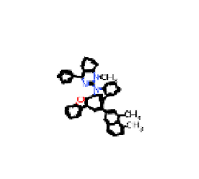 CC1C=C(C2=Cc3c(oc4ccccc34)C3C=C2c2ccccc2N3C2=NC(c3ccccc3)=C3C=CC=CC3N2C)C=C2C=CCC(C)C21